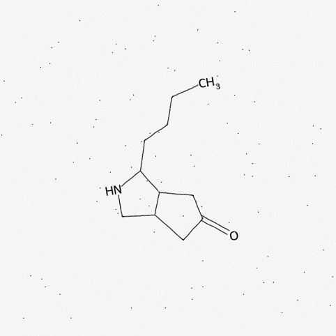 CCCCC1NCC2CC(=O)CC21